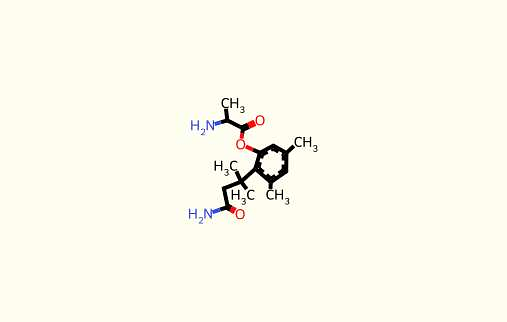 Cc1cc(C)c(C(C)(C)CC(N)=O)c(OC(=O)C(C)N)c1